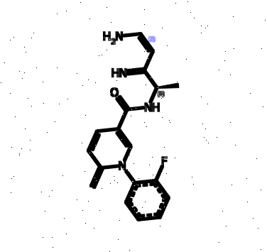 C=C1C=CC(C(=O)N[C@H](C)C(=N)/C=C\N)=CN1c1ccccc1F